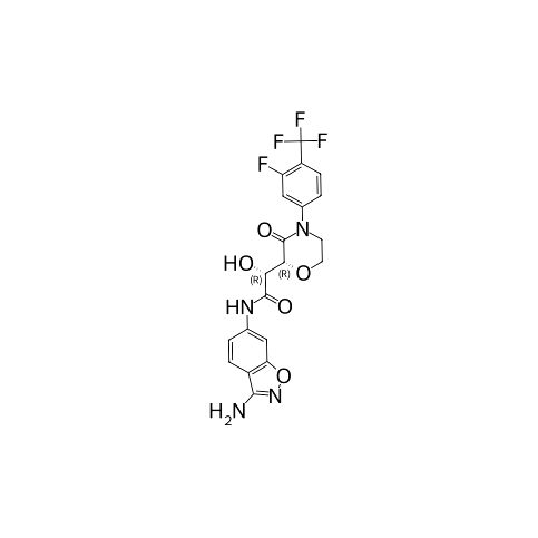 Nc1noc2cc(NC(=O)[C@H](O)[C@H]3OCCN(c4ccc(C(F)(F)F)c(F)c4)C3=O)ccc12